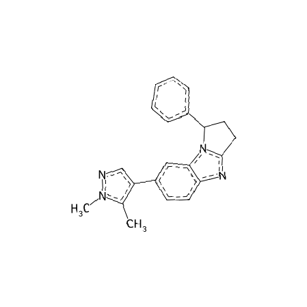 Cc1c(-c2ccc3nc4n(c3c2)C(c2ccccc2)CC4)cnn1C